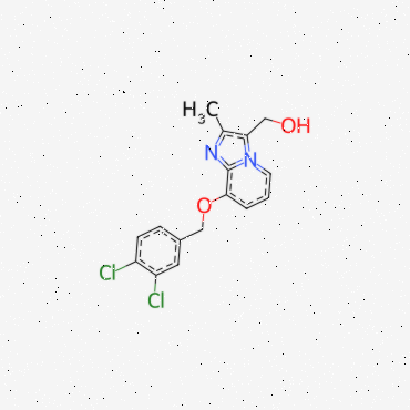 Cc1nc2c(OCc3ccc(Cl)c(Cl)c3)cccn2c1CO